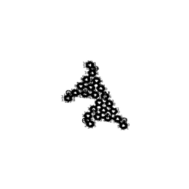 c1ccc(-c2cc(-c3ccccc3-c3ccc(-c4ccc5oc6ccccc6c5c4)nc3)cc(-c3ccccc3-c3ccc(-c4ccc5oc6ccccc6c5c4)nc3)c2)c(-c2ccc(-c3cnc(-c4ccc(-c5ccccc5-c5cc(-c6ccccc6-c6ccc(-c7ccc8oc9ccccc9c8c7)nc6)cc(-c6ccccc6-c6ccc(-c7ccc8oc9ccccc9c8c7)nc6)c5)cc4)cn3)cc2)c1